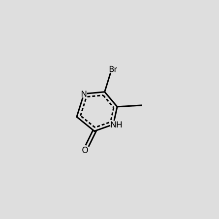 Cc1[nH]c(=O)cnc1Br